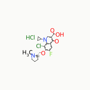 CN1CCC[C@H]1COc1c(F)cc2c(=O)c(C(=O)O)cn(C3CC3)c2c1Cl.Cl